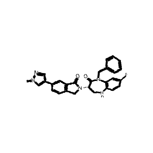 Cn1cc(-c2ccc3c(c2)C(=O)N([C@H]2CNc4ccc(F)cc4N(Cc4ccccc4)C2=O)C3)cn1